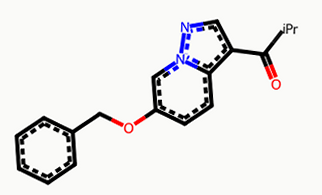 CC(C)C(=O)c1cnn2cc(OCc3ccccc3)ccc12